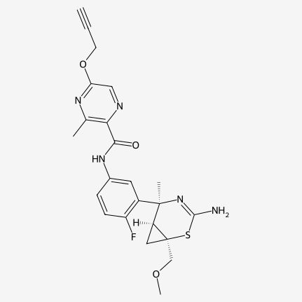 C#CCOc1cnc(C(=O)Nc2ccc(F)c([C@@]3(C)N=C(N)S[C@@]4(COC)C[C@H]43)c2)c(C)n1